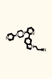 N#CCCn1ccc2ccc(-c3ncccc3N3CCN(c4ccncc4)CC3)cc21